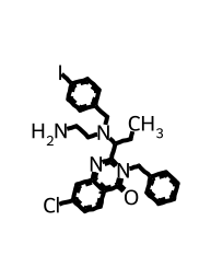 CCC(c1nc2cc(Cl)ccc2c(=O)n1Cc1ccccc1)N(CCN)Cc1ccc(I)cc1